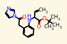 C=CC(Nc1ccccc1CC(=O)n1ccnc1)C(=O)OC(C)(C)C